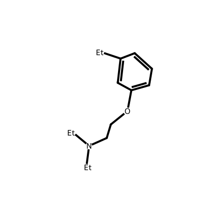 CCc1cccc(OCCN(CC)CC)c1